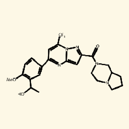 COc1ccc(-c2cc(C(F)(F)F)n3nc(C(=O)N4CCN5CCCC5C4)cc3n2)cc1C(C)O